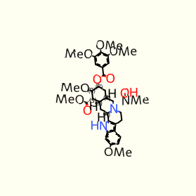 CNO.COC(=O)[C@H]1[C@H]2C[C@@H]3c4[nH]c5cc(OC)ccc5c4CCN3C[C@H]2C[C@@H](OC(=O)c2cc(OC)c(OC)c(OC)c2)[C@@H]1OC